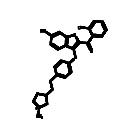 C[C@H]1CCN(CCc2ccc(Oc3c(C(=O)c4ccccc4Cl)sc4cc(O)ccc34)cc2)C1